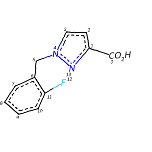 O=C(O)c1ccn(Cc2ccccc2F)n1